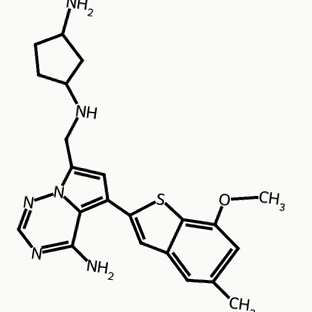 COc1cc(C)cc2cc(-c3cc(CNC4CCC(N)C4)n4ncnc(N)c34)sc12